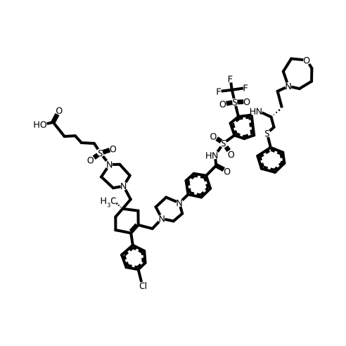 C[C@@]1(CN2CCN(S(=O)(=O)CCCCC(=O)O)CC2)CCC(c2ccc(Cl)cc2)=C(CN2CCN(c3ccc(C(=O)NS(=O)(=O)c4ccc(N[C@H](CCN5CCCOCC5)CSc5ccccc5)c(S(=O)(=O)C(F)(F)F)c4)cc3)CC2)C1